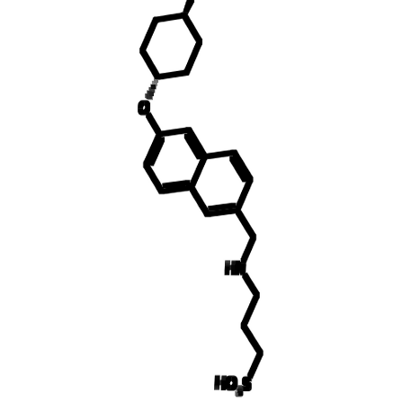 CC(C)(C)[C@H]1CC[C@H](Oc2ccc3cc(CNCCCS(=O)(=O)O)ccc3c2)CC1